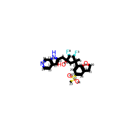 CC(CF)(CC(O)(CF)Cc1cc2ccncc2[nH]1)c1cc(S(C)(=O)=O)cc2c1OCC2